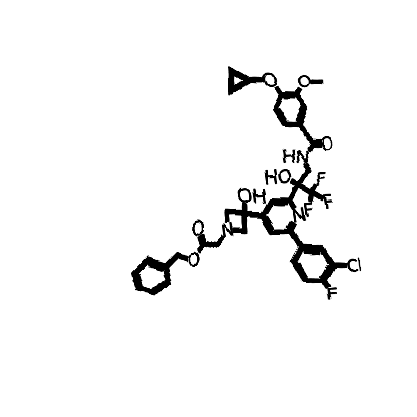 COc1cc(C(=O)NCC(O)(c2cc(C3(O)CN(CC(=O)OCc4ccccc4)C3)cc(-c3ccc(F)c(Cl)c3)n2)C(F)(F)F)ccc1OC1CC1